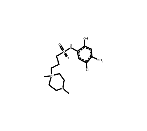 CN1CC[N+](C)(CCCS(=O)(=O)Nc2cc(Cl)c(N)cc2O)CC1